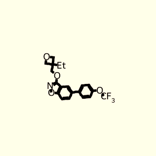 CCC1(COc2noc3ccc(-c4ccc(OC(F)(F)F)cc4)cc23)COC1